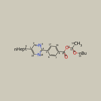 CCCCCCCc1cnc(-c2ccc(C(=O)OC(C)OCCCC)cc2)nc1